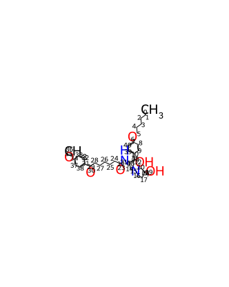 CCCCCCOc1ccc([C@@H](O)[C@@H](CN2CC[C@H](O)C2)NC(=O)CCCCCC(=O)c2ccc(OC)cc2)cc1